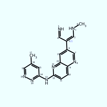 CN/C=C(\C=N)c1cnc2ccc(Nc3cc(C)cnn3)nc2c1